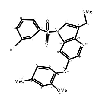 CNCc1cn(S(=O)(=O)c2cccc(F)c2)c2cc(Nc3ccc(OC)cc3OC)cnc12